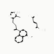 COc1ccc(C(=O)CCc2nc[nH]c2C)c2ccccc12.O=C(O)C=CC(=O)O